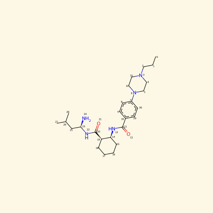 CCCN1CCN(c2ccc(C(=O)N[C@H]3CCCC[C@H]3C(=O)N[C@H](N)CC(C)C)cc2)CC1